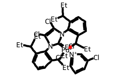 CCC(CC)c1cccc(C(CC)CC)c1-n1c(Cl)c(Cl)n(-c2c(C(CC)CC)cccc2C(CC)CC)[c]1=[Pd]([Cl])([Cl])[n+]1cccc(Cl)c1